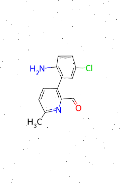 Cc1ccc(-c2cc(Cl)ccc2N)c(C=O)n1